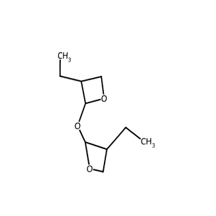 CCC1COC1OC1OCC1CC